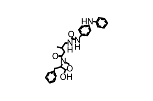 CC(CNC(=O)Nc1ccc(Nc2ccccc2)cc1)CC(=O)N1COC(O)C1Cc1ccccc1